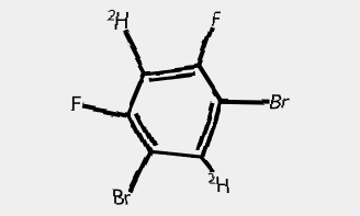 [2H]c1c(F)c(Br)c([2H])c(Br)c1F